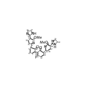 COc1nc(-c2cccc(-c3c(F)ccc(-c4ccc(C5=NCCN5)c(OC)n4)c3Cl)c2Cl)ccc1C1=NCCN1